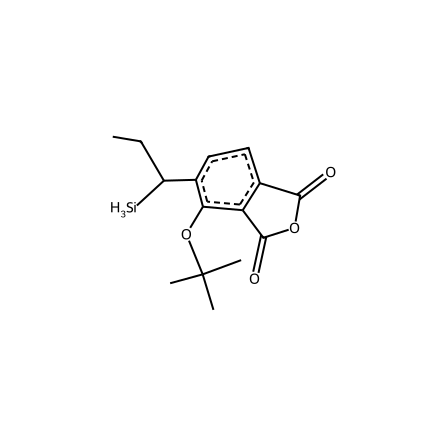 CCC([SiH3])c1ccc2c(c1OC(C)(C)C)C(=O)OC2=O